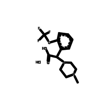 CN1CCN(C(C(=O)O)c2ccccc2OC(F)(F)F)CC1.Cl